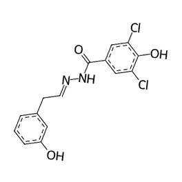 O=C(NN=CCc1cccc(O)c1)c1cc(Cl)c(O)c(Cl)c1